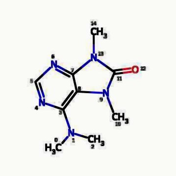 CN(C)c1ncnc2c1n(C)c(=O)n2C